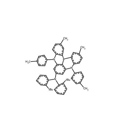 Cc1ccc(N2c3ccc(C)cc3B3c4cc(C)ccc4N(c4ccc(C)cc4)c4cc(N(c5ccccc5C(C)(C)C)c5ccccc5C(C)(C)C)cc2c43)cc1